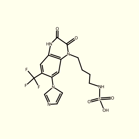 O=c1[nH]c2cc(C(F)(F)F)c(-n3ccnc3)cc2n(CCCCNS(=O)(=O)O)c1=O